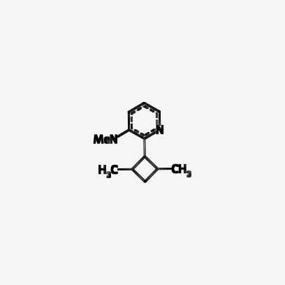 CNc1cccnc1C1C(C)CC1C